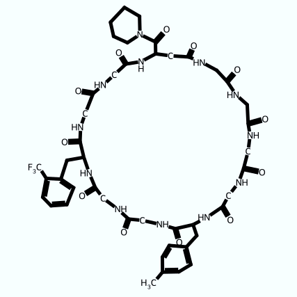 Cc1ccc(CC2NC(=O)CNC(=O)CNC(=O)CNC(=O)CNC(=O)CC(C(=O)N3CCCCC3)NC(=O)CNC(=O)CNC(=O)C(Cc3ccccc3C(F)(F)F)NC(=O)CNC(=O)CNC2=O)cc1